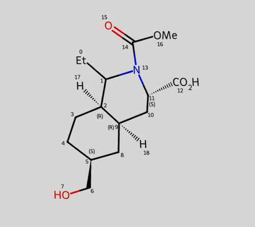 CCC1[C@@H]2CC[C@H](CO)C[C@@H]2C[C@@H](C(=O)O)N1C(=O)OC